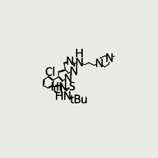 CN1CCN(CCCNc2ncc3cc(-c4c(Cl)cccc4Cl)c(NC(=S)NC(C)(C)C)nc3n2)CC1